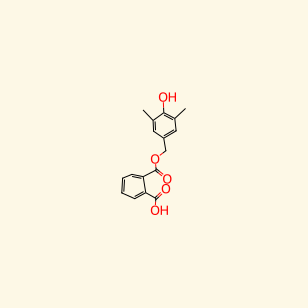 Cc1cc(COC(=O)c2ccccc2C(=O)O)cc(C)c1O